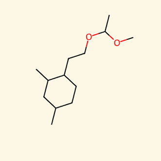 COC(C)OCCC1CCC(C)CC1C